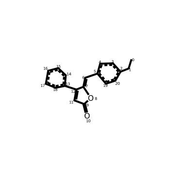 CCc1ccc(C=C2OC(=O)C=C2c2ccccc2)cc1